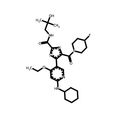 CCOc1cc(NC2CCCCC2)ncc1-c1sc(C(=O)NCC(C)(C)O)nc1C(=O)N1CCC(F)CC1